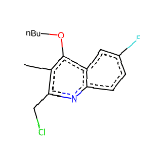 CCCCOc1c(C)c(CCl)nc2ccc(F)cc12